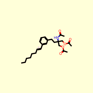 CCCCCC/C=C/c1cccc(CCC(COC(C)=O)(COC(C)=O)NC(C)=O)c1